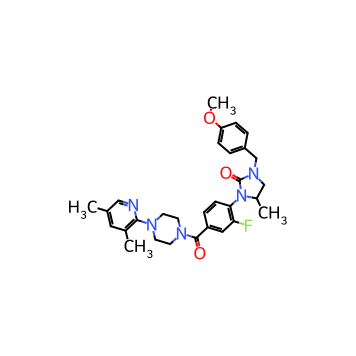 COc1ccc(CN2CC(C)N(c3ccc(C(=O)N4CCN(c5ncc(C)cc5C)CC4)cc3F)C2=O)cc1